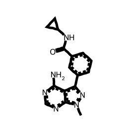 Cn1nc(-c2cccc(C(=O)NC3CC3)c2)c2c(N)ncnc21